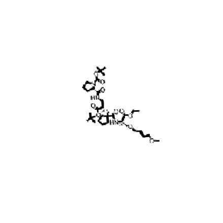 CCOC(=O)[C@H](COCC=CCOC)NC(=O)C1(C[C@@H](CNC(=O)[C@@H]2CCCN2C(=O)OC(C)(C)C)C(=O)OC(C)(C)C)CCCC1